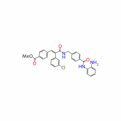 COC(=O)c1ccc(C=C(C(=O)NCc2ccc(C(=O)Nc3ccccc3N)cc2)c2cccc(Cl)c2)cc1